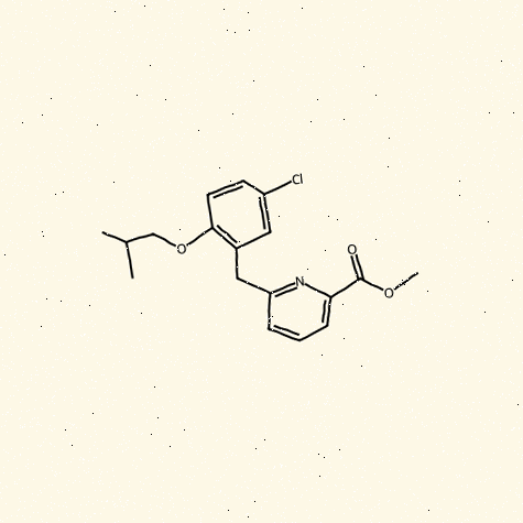 COC(=O)c1cccc(Cc2cc(Cl)ccc2OCC(C)C)n1